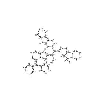 CC1(C)c2ccccc2-c2ccc(C(c3ccc4c(c3)sc3ccccc34)c3cccc4c3oc3cccc(N(c5ccccc5)c5ccccc5)c34)cc21